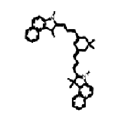 CC1/C(=C\C=C\C2=CC(=C/C=C/C3=[N+](C)c4ccc5ccccc5c4C3(C)C)/CC(C)(C)C2)N(C)c2ccc3ccccc3c21